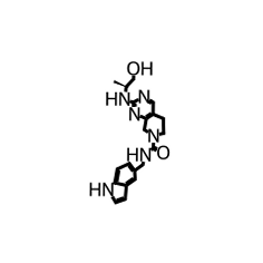 C[C@@H](CO)Nc1ncc2c(n1)CN(C(=O)NCc1ccc3[nH]ccc3c1)CC2